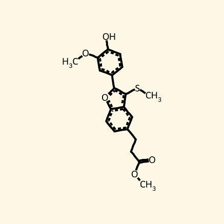 COC(=O)CCc1ccc2oc(-c3ccc(O)c(OC)c3)c(SC)c2c1